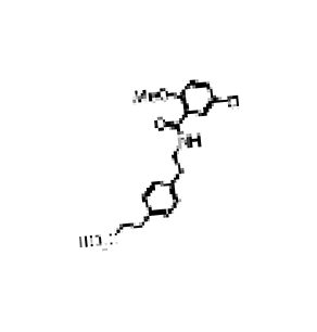 COc1ccc(Cl)cc1C(=O)NCCc1ccc(CCC(=O)O)cc1